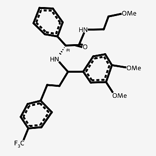 COCCNC(=O)[C@H](NC(CCc1ccc(C(F)(F)F)cc1)c1ccc(OC)c(OC)c1)c1ccccc1